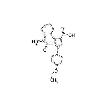 CCOc1ccc(-n2cc(C(=O)O)c3c4ccccc4n(C)c(=O)c32)cc1